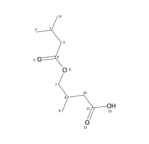 CC(C)CC(=O)OCC(C)CC(=O)O